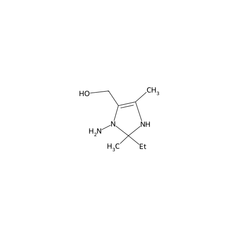 CCC1(C)NC(C)=C(CO)N1N